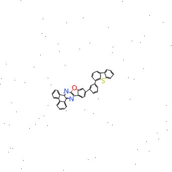 c1cc(-c2ccc3c(c2)oc2nc4c5ccccc5c5ccccc5c4nc23)cc(-c2cccc3c2sc2ccccc23)c1